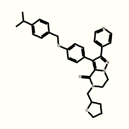 CC(C)c1ccc(COc2ccc(-c3c(-c4ccncc4)nn4c3C(=O)N(CC3CCCO3)CC4)cc2)cc1